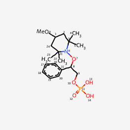 COC1CC(C)(C)N(OC(COP(=O)(O)O)c2ccccc2)C(C)(C)C1